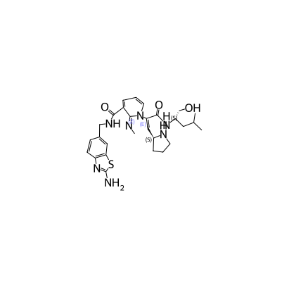 C/N=c1/c(C(=O)NCc2ccc3nc(N)sc3c2)cccn1/C(=C/[C@@H]1CCCN1)C(=O)N[C@H](CO)CC(C)C